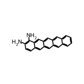 Nc1ccc2cc3cc4cc5ccccc5cc4cc3cc2c1N